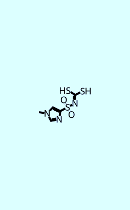 Cn1cnc(S(=O)(=O)N=C(S)S)c1